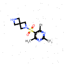 CCc1nc(C(F)(F)F)nc(C)c1S(=O)(=O)N1CC2(CNC2)C1